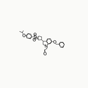 CC(C)Oc1ccc(S(=O)(=O)N2CCC(C3CN(CC=O)c4cc(OCc5ccccc5)ccc43)C2)cc1